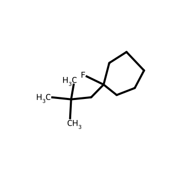 CC(C)(C)CC1(F)CCCCC1